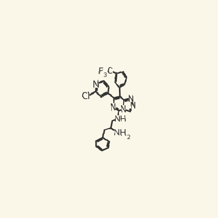 NC(CNc1nc(-c2ccnc(Cl)c2)c(-c2cccc(C(F)(F)F)c2)c2nncn12)Cc1ccccc1